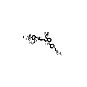 COCCN1CCC(Nc2cccc3c2cc(C#CCNc2ccc(S(N)(=O)=O)cc2OC)n3CC(F)(F)F)CC1